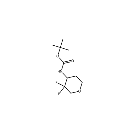 CC(C)(C)OC(=O)NC1CCOCC1(F)F